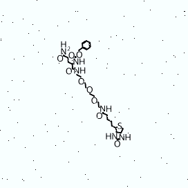 NC(=O)CCC(NC(=O)OCc1ccccc1)C(=O)NCCOCCOCCOCCNC(=O)CCCCC1SCC2NC(=O)NC21